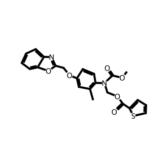 COC(=O)N(COC(=O)c1cccs1)c1ccc(OCc2nc3ccccc3o2)cc1C